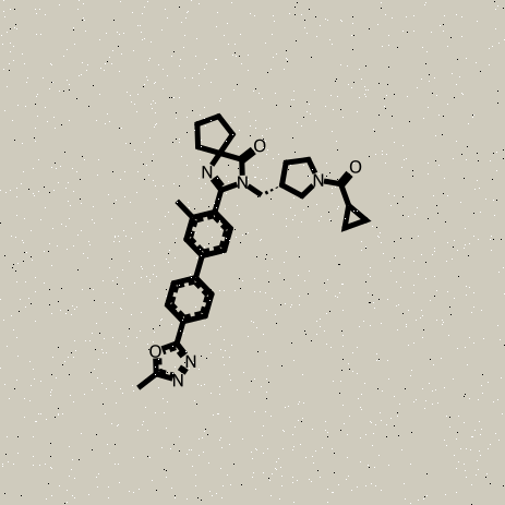 Cc1nnc(-c2ccc(-c3ccc(C4=NC5(CCCC5)C(=O)N4C[C@@H]4CCN(C(=O)C5CC5)C4)c(C)c3)cc2)o1